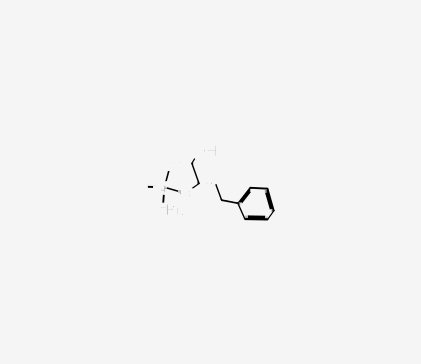 C[C@H](O)[C@H](CCc1ccccc1)O[Si](C)(C)C(C)(C)C